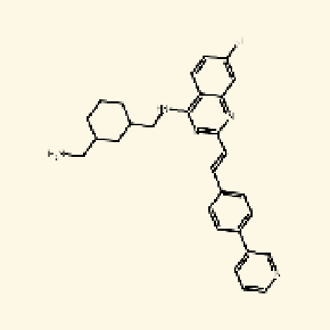 NCC1CCCC(CNc2nc(/C=C/c3ccc(-c4cccnc4)cc3)nc3cc(Cl)ccc23)C1